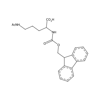 CC(=O)NCCCC(NC(=O)OCC1c2ccccc2-c2ccccc21)C(=O)O